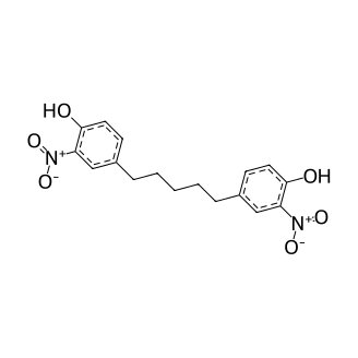 O=[N+]([O-])c1cc(CCCCCc2ccc(O)c([N+](=O)[O-])c2)ccc1O